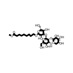 COC(=O)CCCCCCCCO[C@H]1O[C@H](CO)[C@@H](O)[C@H](O[C@@H]2O[C@H](CO)[C@@H](O)[C@H](O)[C@H]2O[C@@H]2OC[C@@H](O)[C@H](O)[C@H]2O)[C@H]1O